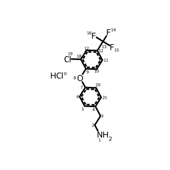 Cl.NCCc1ccc(Oc2ccc(C(F)(F)F)cc2Cl)cc1